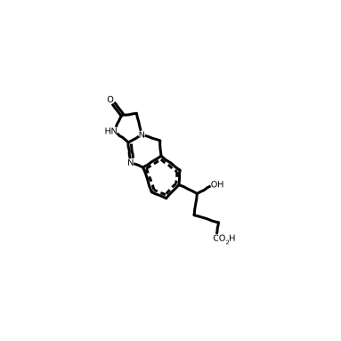 O=C(O)CCC(O)c1ccc2c(c1)CN1CC(=O)NC1=N2